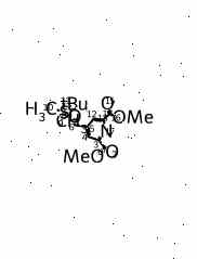 COC(=O)c1cc(CO[Si](C)(C)C(C)(C)C)cc(C(=O)OC)n1